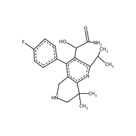 CC(C)c1nc2c(c(-c3ccc(F)cc3)c1C(O)C(N)=O)CNCC2(C)C